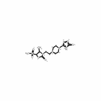 CC1C(S(C)(=O)=O)OC(=O)N1CCN1CCN(c2noc(=O)[nH]2)CC1